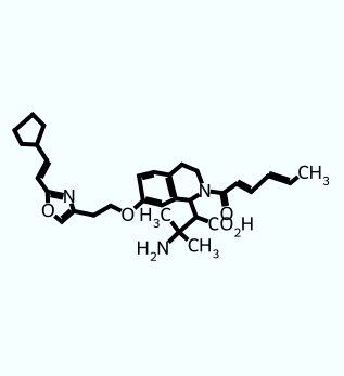 CC=CC=CC(=O)N1CCc2ccc(OCCc3coc(C=CC4CCCC4)n3)cc2C1C(C(=O)O)C(C)(C)N